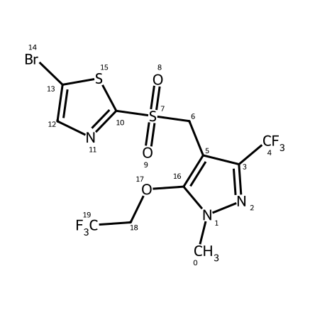 Cn1nc(C(F)(F)F)c(CS(=O)(=O)c2ncc(Br)s2)c1OCC(F)(F)F